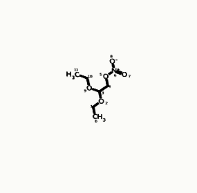 CCOC(CO[N+](=O)[O-])OCC